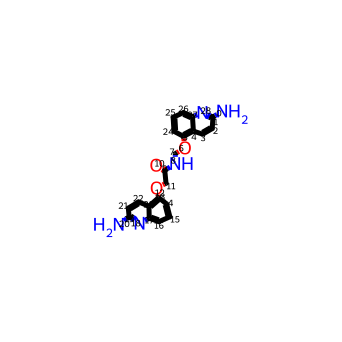 Nc1ccc2c(OCNC(=O)COc3cccc4nc(N)ccc34)cccc2n1